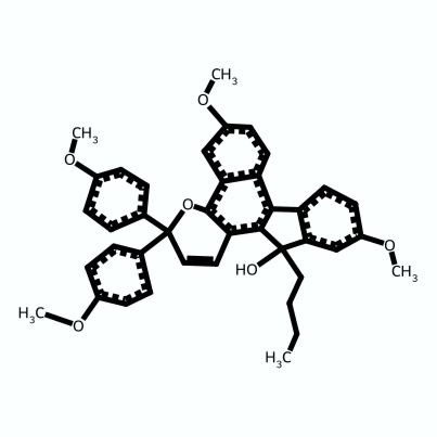 CCCCC1(O)c2cc(OC)ccc2-c2c1c1c(c3cc(OC)ccc23)OC(c2ccc(OC)cc2)(c2ccc(OC)cc2)C=C1